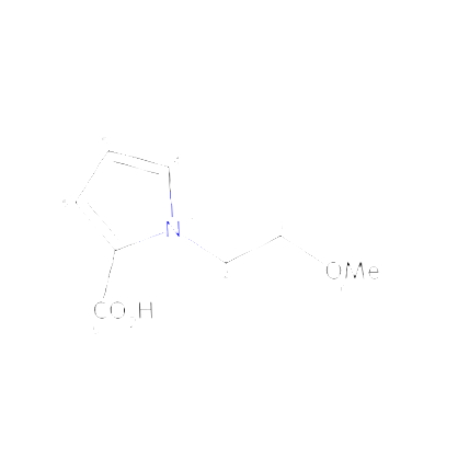 COCCn1cccc1C(=O)O